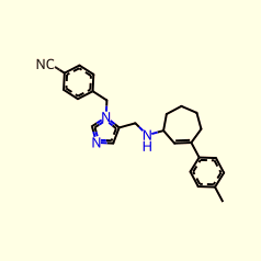 Cc1ccc(C2=CC(NCc3cncn3Cc3ccc(C#N)cc3)CCCC2)cc1